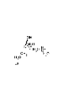 O.O.O.O.O.O.O=[N+]([O-])O.[La]